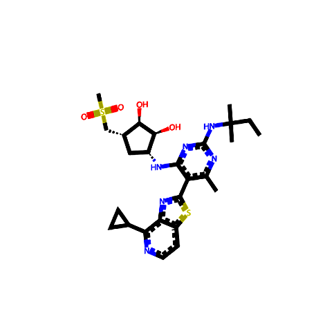 CCC(C)(C)Nc1nc(C)c(-c2nc3c(C4CC4)nccc3s2)c(N[C@@H]2C[C@H](CS(C)(=O)=O)[C@@H](O)[C@H]2O)n1